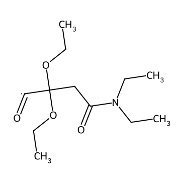 CCOC([C]=O)(CC(=O)N(CC)CC)OCC